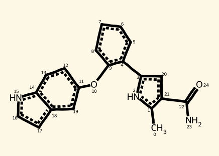 Cc1[nH]c(-c2ccccc2Oc2ccc3[nH]ccc3c2)cc1C(N)=O